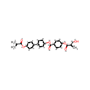 C=C(C)C(=O)Oc1ccc(-c2ccc(OC(=O)c3ccc(OC(=O)C(=C)CO)cc3)cc2)cc1